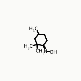 CC1CCC(=NO)C(C)(C)C1